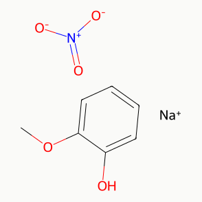 COc1ccccc1O.O=[N+]([O-])[O-].[Na+]